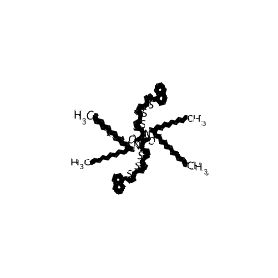 CCCCCCCCCCCCC(CCCCCCCCCC)CN1C(=O)C2=C(c3ccc(-c4ccc(-c5ccc(C6CC=Cc7ccccc76)s5)s4)s3)N(CC(CCCCCCCCCC)CCCCCCCCCCCC)C(=O)C2=C1c1ccc(-c2ccc(-c3ccc(-c4cccc5ccccc45)s3)s2)s1